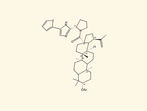 C=C(C)[C@@H]1CC[C@]2(C(=O)N3CCC[C@H]3c3ncc(-c4cccs4)[nH]3)CC[C@]3(C)[C@H](CCC4[C@@]5(C)CC[C@H](OC(C)=O)C(C)(C)C5CC[C@]43C)C12